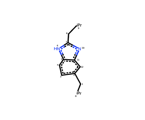 CC(C)Cc1ccc2[nH]c(CC(C)C)nc2c1